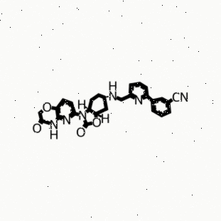 N#Cc1cccc(-c2cccc(CN[C@H]3CC[C@H]4[C@H](C3)OC(=O)N4c3ccc4c(n3)NC(=O)CO4)n2)c1